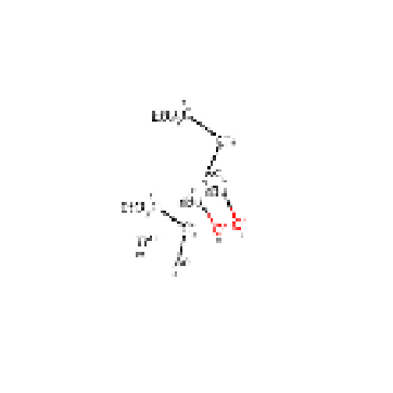 CCCC[O-].CCCC[O-].CCOC(=O)[CH-]C(C)=O.CCOC(=O)[CH-]C(C)=O.[Ti+4]